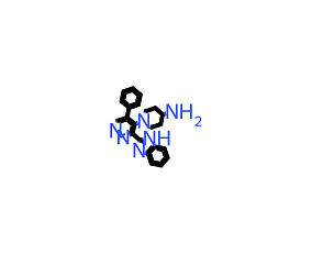 NC1CCN(c2c(-c3ccccc3)cnnc2-c2nc3ccccc3[nH]2)CC1